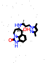 Cc1cc(C)n(CC[C@@H](C)N[C@@H]2CCn3c(=O)[nH]c4cccc(c43)[C@H]2O)n1